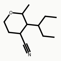 CCC(CC)C1C(C#N)CCOC1C